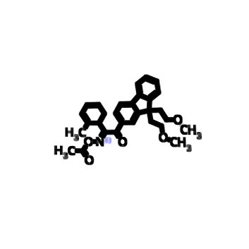 COCCC1(CCOC)c2ccccc2-c2ccc(C(=O)/C(=N/OC(C)=O)C3CC=CC=C3C)cc21